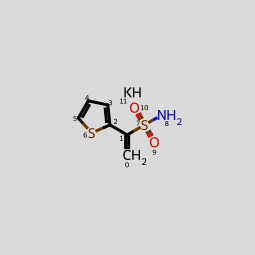 C=C(c1cccs1)S(N)(=O)=O.[KH]